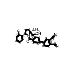 C[C@@]1(C(=O)O)CC[C@H](c2ccccc2Cl)N1C(=O)c1ccc(-c2ccc(C#N)c(C#N)c2)cc1